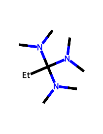 [CH2]CC(N(C)C)(N(C)C)N(C)C